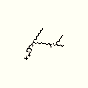 CCCCCCCCCC(CCCCCCCCC(=O)OCC(CCCC)CCCCCC)OC(=O)CC1CCN(C(=O)OC(C)(C)C)CC1